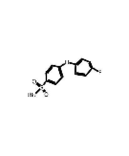 CC(C)(C)S(=O)(=O)c1ccc(Oc2ccc(F)cc2)cc1